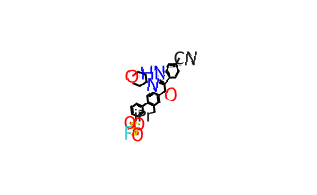 CC(C)Cc1cc2c(=O)c3c4ccc(C#N)cc4[nH]c3n(C3CCOCC3)c2cc1-c1cccc(OS(=O)(=O)F)c1